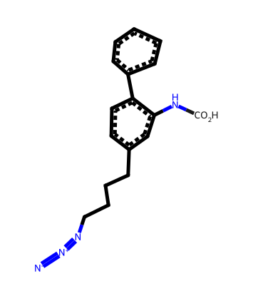 [N-]=[N+]=NCCCCc1ccc(-c2ccccc2)c(NC(=O)O)c1